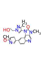 COc1ccc(-c2ccc3ncc4c(c3c2)n(-c2cn(CCO)nc2C)c(=O)n4C)cn1